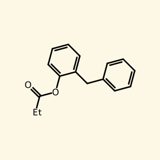 CCC(=O)Oc1ccccc1Cc1ccccc1